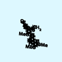 C=CC(=O)Nc1cc(-c2cc3c(cn2)cc(-c2c(Cl)c(OC)cc(OC)c2Cl)c2nccn23)c(OC)cc1N1CCN(C2COC2)CC1